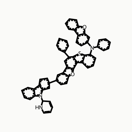 C1=CNC(n2c3ccccc3c3ccc(-c4ccc5oc6c(cc(-c7ccccc7)c7sc8c(N(c9ccccc9)c9ccc%10c(c9)oc9ccccc9%10)cccc8c76)c5c4)cc32)C=C1